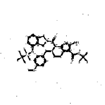 COc1ccc(CN2CCc3c(sc(N)c3C(=O)OC(C)(C)C)C2C(=O)N2Cc3cccc(O[Si](C)(C)C(C)(C)C)c3C2)cc1